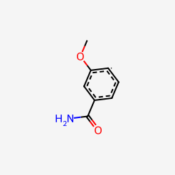 COc1[c]ccc(C(N)=O)c1